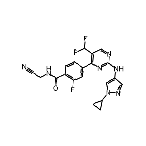 N#CCNC(=O)c1ccc(-c2nc(Nc3cnn(C4CC4)c3)ncc2C(F)F)cc1F